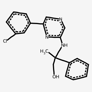 CC(CO)(Nc1cncc(-c2cccc(Cl)c2)n1)c1ccccc1